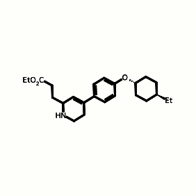 CCOC(=O)CCC1C=C(c2ccc(O[C@H]3CC[C@H](CC)CC3)cc2)CCN1